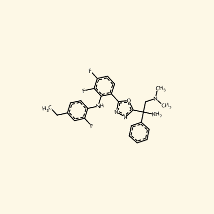 CCc1ccc(Nc2c(-c3nnc(C(N)(CN(C)C)c4ccccc4)o3)ccc(F)c2F)c(F)c1